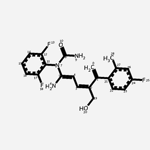 C=C(/C(=C\C=C(/N)N(C(N)=O)c1c(F)cccc1F)CO)c1ccc(F)cc1C